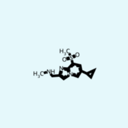 CNCc1cn2cc(C3CC3)cc(S(C)(=O)=O)c2n1